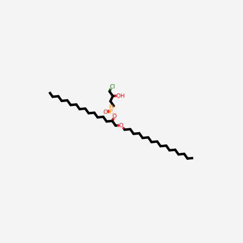 CCCCCCCCCCCCCCCCOCC(CCCCCCCCCCCCCC)O[PH](=O)CCC(O)CCl